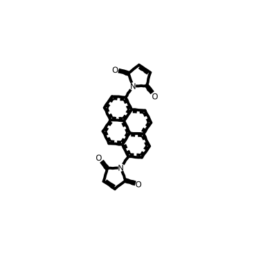 O=C1C=CC(=O)N1c1ccc2ccc3c(N4C(=O)C=CC4=O)ccc4ccc1c2c43